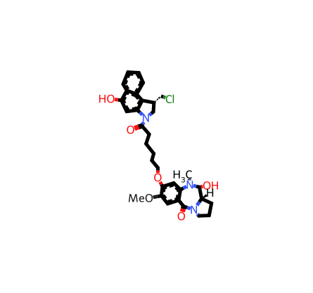 COc1cc2c(cc1OCCCCCC(=O)N1C[C@@H](CCl)c3c1cc(O)c1ccccc31)N(C)C(O)[C@@H]1CCCN1C2=O